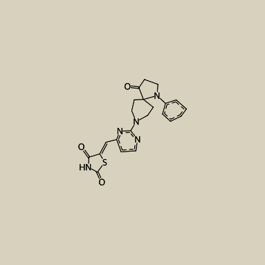 O=C1NC(=O)/C(=C/c2ccnc(N3CCC4(CC3)C(=O)CCN4c3ccccc3)n2)S1